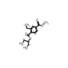 CCc1cc(C(=O)OC)ccc1C(=O)OC(CO)CO